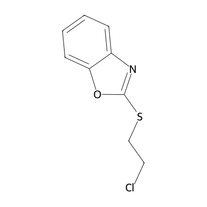 ClCCSc1nc2ccccc2o1